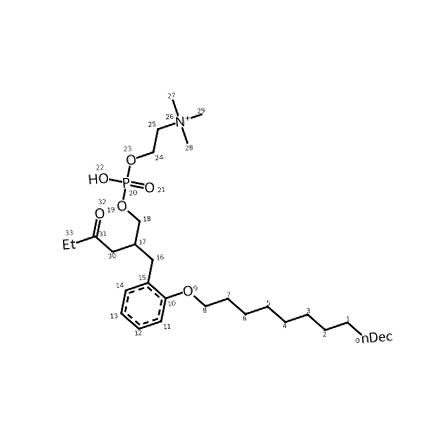 CCCCCCCCCCCCCCCCCCOc1ccccc1CC(COP(=O)(O)OCC[N+](C)(C)C)CC(=O)CC